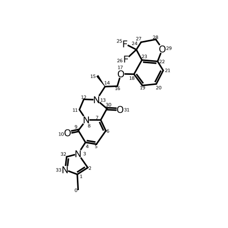 Cc1cn(-c2ccc3n(c2=O)CCN([C@@H](C)COc2cccc4c2C(F)(F)CCO4)C3=O)cn1